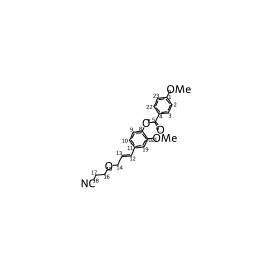 COc1ccc(C(=O)Oc2ccc(/C=C/COCCC#N)cc2OC)cc1